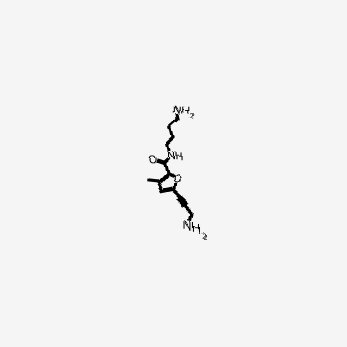 Cc1cc(C#CCN)oc1C(=O)NCCCCN